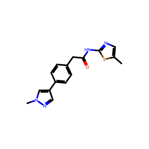 Cc1cnc(NC(=O)Cc2ccc(-c3cnn(C)c3)cc2)s1